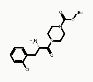 CC(C)(C)OC(=O)N1CCN(C(=O)[C@@H](N)Cc2ccccc2Cl)CC1